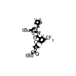 CC(C)(C)OC(=O)N1CC(Oc2ccc(C(F)(F)F)cc2C(=O)N=c2sc(C(C)(C)C)cn2C[C@H]2CCCO2)C1